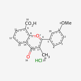 COc1cccc(-c2oc3c(C(=O)O)cccc3c(=O)c2C)c1.Cl